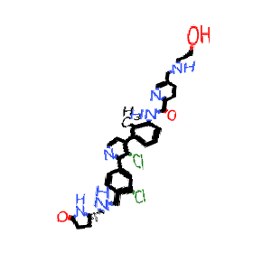 Cc1c(NC(=O)c2ccc(CNCCO)cn2)cccc1-c1ccnc(-c2ccc(CNC[C@@H]3CCC(=O)N3)c(Cl)c2)c1Cl